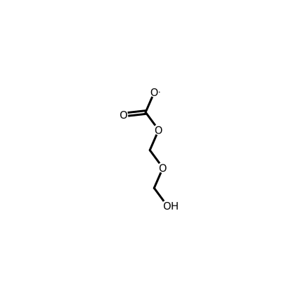 [O]C(=O)OCOCO